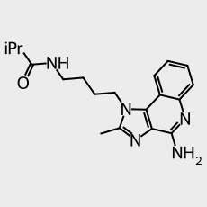 Cc1nc2c(N)nc3ccccc3c2n1CCCCNC(=O)C(C)C